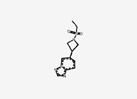 CCS(=O)(=O)N1CC(c2ccc3ncnn3c2)C1